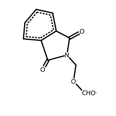 O=[C]OCN1C(=O)c2ccccc2C1=O